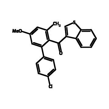 COc1cc(C)c(C(=O)c2csc3ccccc23)c(-c2ccc(Cl)cc2)c1